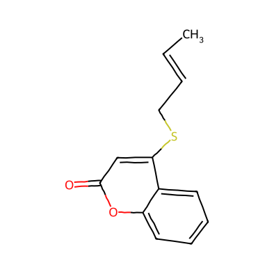 C/C=C/CSc1cc(=O)oc2ccccc12